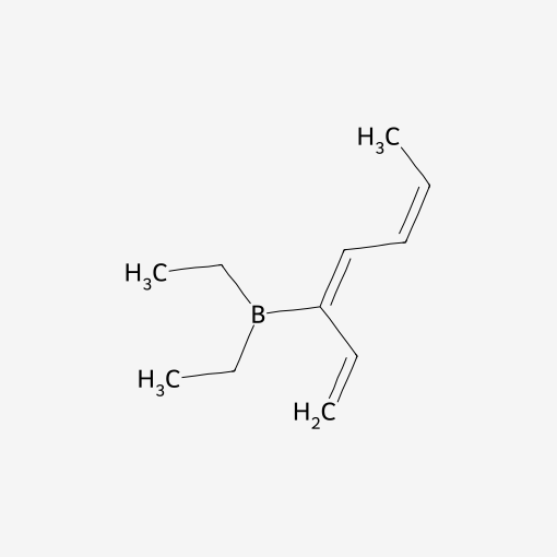 C=C/C(=C\C=C/C)B(CC)CC